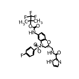 CC(C)(OC(=O)Nc1ccc2c(c1)N(S(=O)(=O)c1ccc(F)cc1)C[C@H](CNC(=O)c1ncc[nH]1)O2)C(F)(F)F